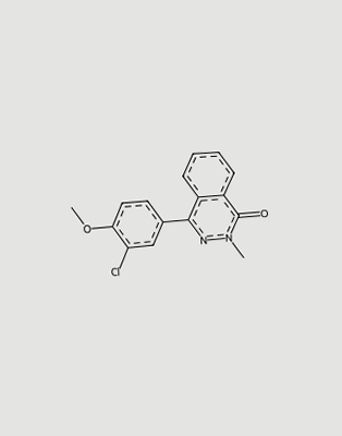 COc1ccc(-c2nn(C)c(=O)c3ccccc23)cc1Cl